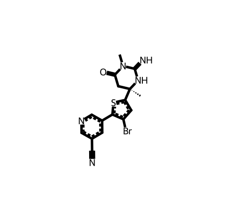 CN1C(=N)N[C@@](C)(c2cc(Br)c(-c3cncc(C#N)c3)s2)CC1=O